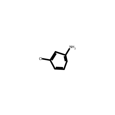 Nc1cc[c]c(Cl)c1